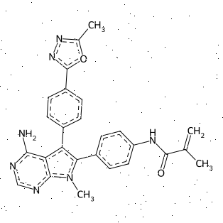 C=C(C)C(=O)Nc1ccc(-c2c(-c3ccc(-c4nnc(C)o4)cc3)c3c(N)ncnc3n2C)cc1